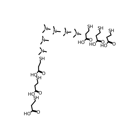 CN(C)C.CN(C)C.CN(C)C.CN(C)C.CN(C)C.CN(C)C.O=C(O)CCS.O=C(O)CCS.O=C(O)CCS.O=C(O)CCS.O=C(O)CCS.O=C(O)CCS